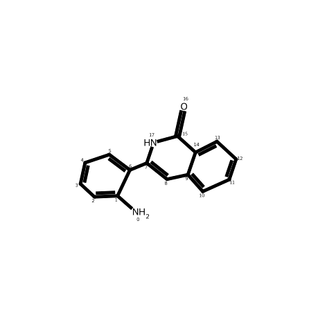 Nc1ccccc1-c1cc2ccccc2c(=O)[nH]1